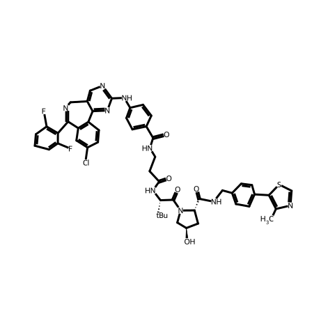 Cc1ncsc1-c1ccc(CNC(=O)[C@@H]2C[C@@H](O)CN2C(=O)[C@@H](NC(=O)CCNC(=O)c2ccc(Nc3ncc4c(n3)-c3ccc(Cl)cc3C(c3c(F)cccc3F)=NC4)cc2)C(C)(C)C)cc1